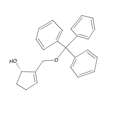 O[C@H]1CCC=C1COC(c1ccccc1)(c1ccccc1)c1ccccc1